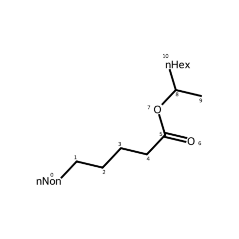 CCCCCCCCCCCCCC(=O)OC(C)CCCCCC